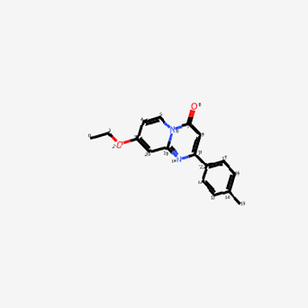 CCOc1ccn2c(=O)cc(-c3ccc(C)cc3)nc2c1